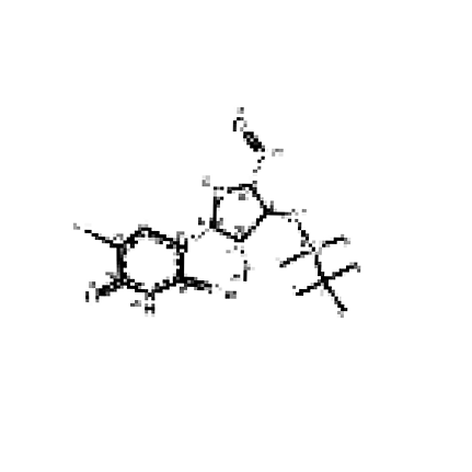 CC(C)(C)[Si](C)(C)OC1[C@@H](C=O)O[C@@H](n2cc(F)c(=O)[nH]c2=O)[C@H]1F